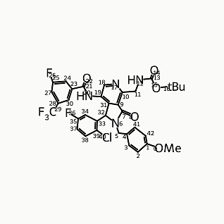 COc1ccc(CN2C(=O)c3c(CNC(=O)OC(C)(C)C)ncc(NC(=O)c4cc(F)cc(C(F)(F)F)c4)c3C2c2cc(F)ccc2Cl)cc1